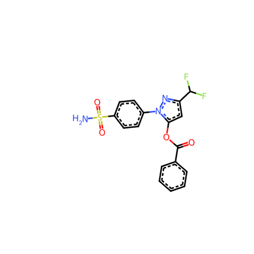 NS(=O)(=O)c1ccc(-n2nc(C(F)F)cc2OC(=O)c2ccccc2)cc1